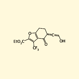 CCOC(=O)c1oc2c(c1C(F)(F)F)C(=O)C(=C=CO)CC2